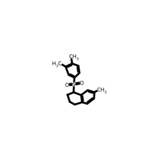 Cc1ccc2c(c1)C(S(=O)(=O)c1ccc(C)c(C)c1)CCC2